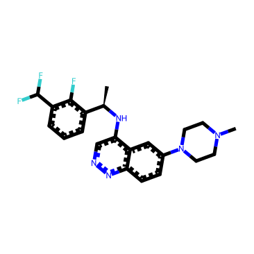 C[C@@H](Nc1cnnc2ccc(N3CCN(C)CC3)cc12)c1cccc(C(F)F)c1F